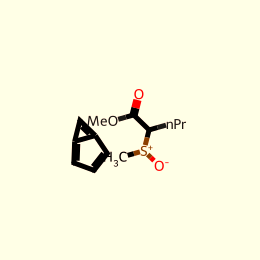 CCCC(C(=O)OC)[S+](C)[O-].c1cc2cc-2c1